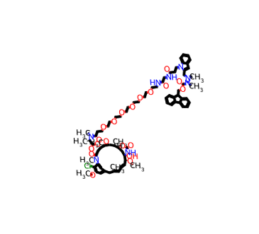 COc1cc2cc(c1Cl)N(C)C(=O)C[C@H](OC(=O)[C@H](C)N(C)C(=O)CCOCCOCCOCCOCCOCCOCCNC(=O)CNC(=O)CCn1c(CN(C)N(C)C(=O)OCC3c4ccccc4-c4ccccc43)cc3ccccc31)[C@]1(C)OC1[C@H](C)[C@@H]1C[C@@](O)(NC(=O)O1)[C@H](OC)/C=C/C=C(\C)C2